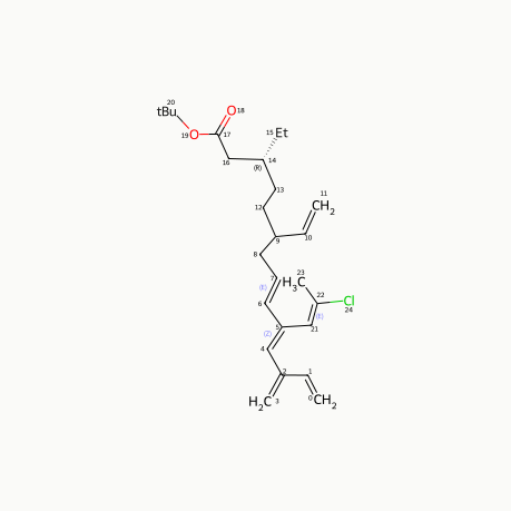 C=CC(=C)/C=C(/C=C/CC(C=C)CC[C@@H](CC)CC(=O)OC(C)(C)C)\C=C(/C)Cl